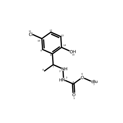 CC(NNC(=O)OC(C)(C)C)c1cc(Cl)ccc1O